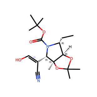 CC[C@@H]1[C@H]2OC(C)(C)O[C@@]2(C)[C@H](/C(C#N)=C/O)N1C(=O)OC(C)(C)C